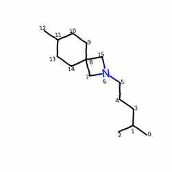 CC(C)CCCN1CC2(CCC(C)CC2)C1